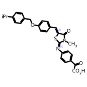 CC(C)c1ccc(COc2ccc(/C=C3\S/C(=N/c4ccc(C(=O)C(=O)O)cc4)N(C)C3=O)cc2)cc1